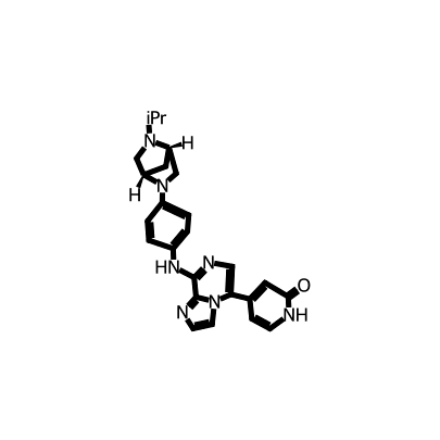 CC(C)N1C[C@@H]2C[C@H]1CN2c1ccc(Nc2ncc(-c3cc[nH]c(=O)c3)n3ccnc23)cc1